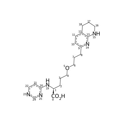 O=C(O)[C@H](CCCOCCCc1ccc2c(n1)NCCC2)Nc1ccncn1